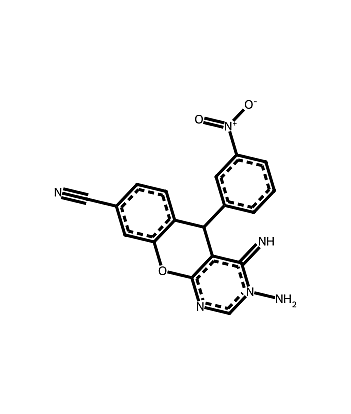 N#Cc1ccc2c(c1)Oc1ncn(N)c(=N)c1C2c1cccc([N+](=O)[O-])c1